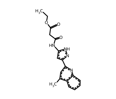 CCOC(=O)CC(=O)Nc1cc(-c2cc(C)c3ccccc3n2)n[nH]1